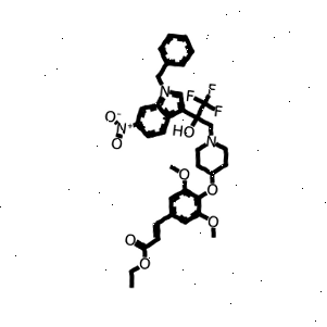 CCOC(=O)/C=C/c1cc(OC)c(OC2CCN(CC(O)(c3cn(Cc4ccccc4)c4cc([N+](=O)[O-])ccc34)C(F)(F)F)CC2)c(OC)c1